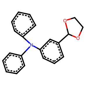 c1ccc(N(c2ccccc2)c2cccc(C3OCCO3)c2)cc1